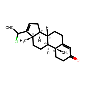 C[C@]12CCC(=O)C=C1CC[C@@H]1[C@@H]2CC[C@]2(C)C(C(Cl)C=O)=CC[C@@H]12